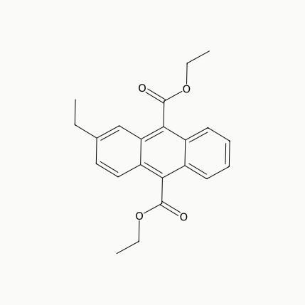 CCOC(=O)c1c2ccccc2c(C(=O)OCC)c2cc(CC)ccc12